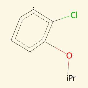 CC(C)Oc1ccc[c]c1Cl